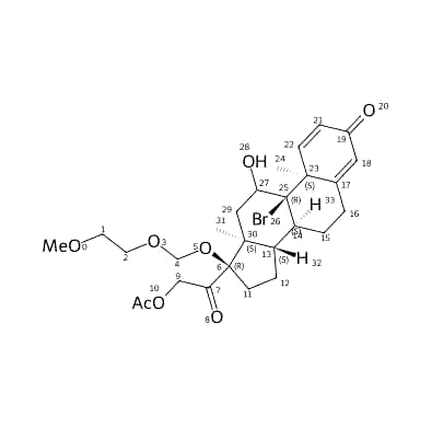 COCCOCO[C@]1(C(=O)COC(C)=O)CC[C@H]2[C@@H]3CCC4=CC(=O)C=C[C@]4(C)[C@@]3(Br)C(O)C[C@@]21C